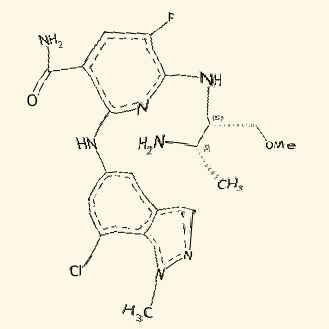 COC[C@@H](Nc1nc(Nc2cc(Cl)c3c(cnn3C)c2)c(C(N)=O)cc1F)[C@H](C)N